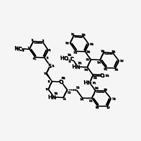 N#Cc1cccc(SC[C@@H]2CNC[C@@H](CCc3ccccc3NC(=O)C(NC(=O)O)C(c3ccccc3)c3ccccc3)O2)c1